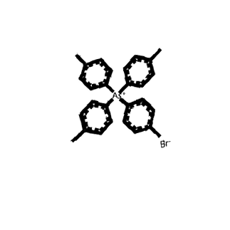 Cc1ccc([As+](c2ccc(C)cc2)(c2ccc(C)cc2)c2ccc(C)cc2)cc1.[Br-]